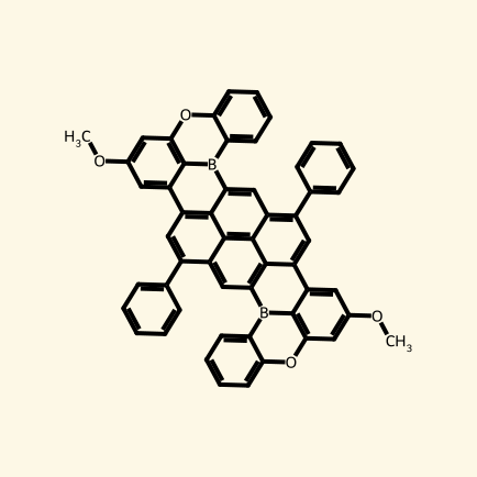 COc1cc2c3c(c1)-c1cc(-c4ccccc4)c4cc5c6c(cc(-c7ccccc7)c7cc(c1c4c76)B3c1ccccc1O2)-c1cc(OC)cc2c1B5c1ccccc1O2